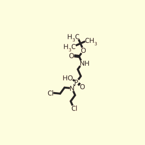 CC(C)(C)OC(=O)NCCP(=O)(O)N(CCCl)CCCl